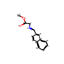 CC(C)(C)OC(=O)C/N=C/c1ccc2ccccc2c1